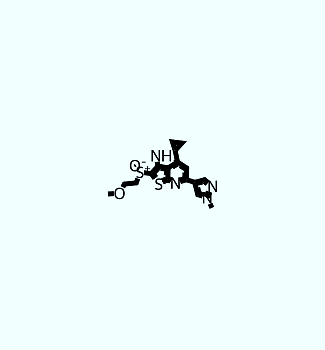 COCC[S@+]([O-])c1sc2nc(-c3cnn(C)c3)cc(C3CC3)c2c1N